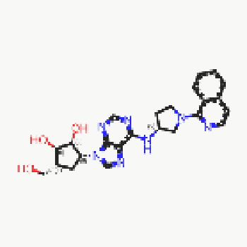 OC[C@H]1C[C@@H](n2cnc3c(N[C@H]4CCN(c5nccc6ccccc56)C4)ncnc32)[C@H](O)[C@@H]1O